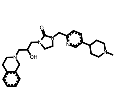 CN1CCC(c2ccc(CN3CCN(CC(O)CN4CCc5ccccc5C4)C3=O)nc2)CC1